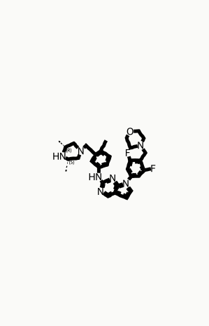 Cc1ccc(Nc2ncc3ccn(-c4cc(F)c(CN5CCOCC5)c(F)c4)c3n2)cc1CN1C[C@@H](C)N[C@@H](C)C1